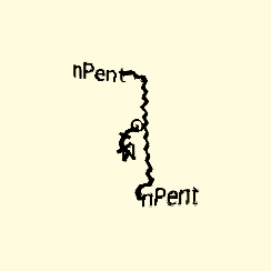 CCCCC/C=C\C/C=C\CCCCCCCCC(CCCCCCCC/C=C\C/C=C\CCCCC)O/C=C/C(C)(C)CC(C)(C)N(C)C